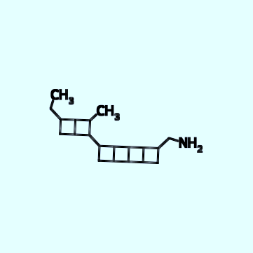 CCC1CC2C1C(C)C2C1CC2C1C1C3C(CN)CC3C21